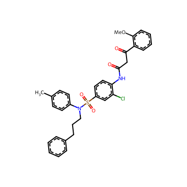 COc1ccccc1C(=O)CC(=O)Nc1ccc(S(=O)(=O)N(CCCc2ccccc2)c2ccc(C)cc2)cc1Cl